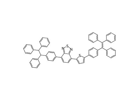 c1ccc(C(=C(c2ccccc2)c2ccc(-c3ccc(-c4ccc(-c5ccc(C(c6ccccc6)C(c6ccccc6)c6ccccc6)cc5)c5nsnc45)s3)cc2)c2ccccc2)cc1